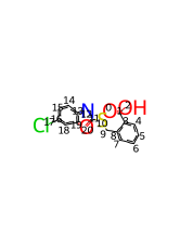 O=C(O)c1ccccc1CSc1nc2ccc(Cl)cc2o1